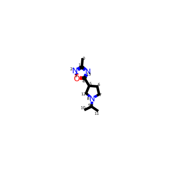 Cc1noc(C2CCN(C(C)C)C2)n1